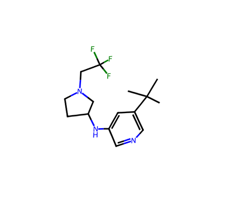 CC(C)(C)c1cncc(NC2CCN(CC(F)(F)F)C2)c1